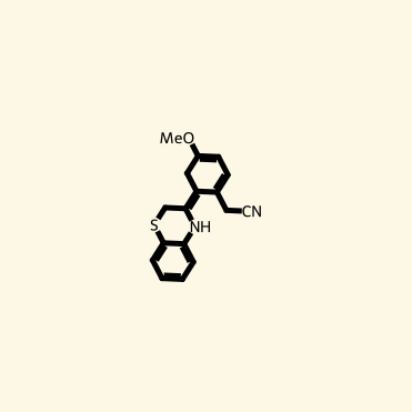 COC1=CC=C(CC#N)C(=C2CSc3ccccc3N2)C1